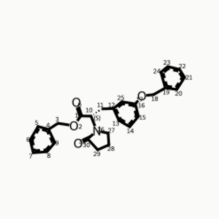 O=C(OCc1ccccc1)[C@H](Cc1cccc(OCc2ccccc2)c1)N1CCCC1=O